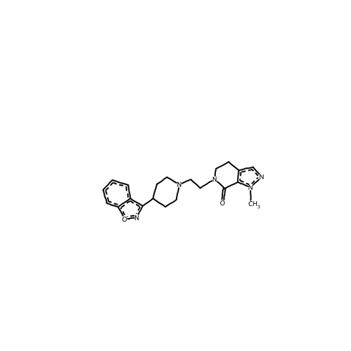 Cn1ncc2c1C(=O)N(CCN1CCC(c3noc4ccccc34)CC1)CC2